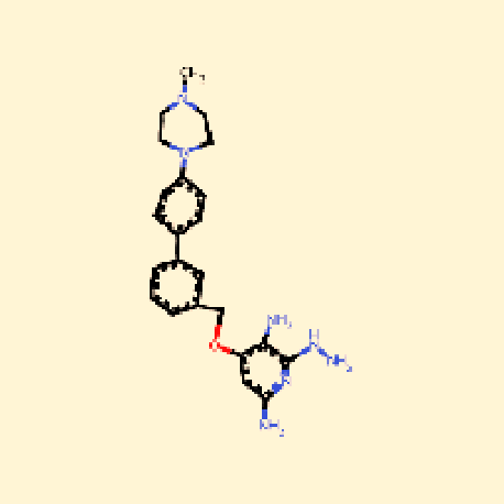 CN1CCN(c2ccc(-c3cccc(COc4cc(N)nc(NN)c4N)c3)cc2)CC1